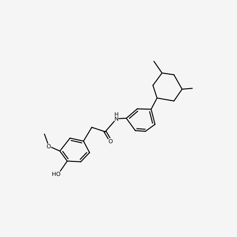 COc1cc(CC(=O)Nc2cccc(C3CC(C)CC(C)C3)c2)ccc1O